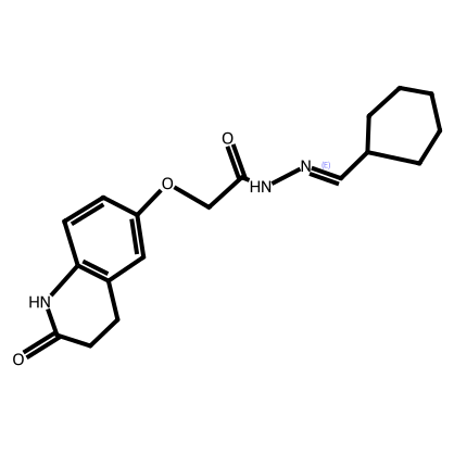 O=C(COc1ccc2c(c1)CCC(=O)N2)N/N=C/C1CCCCC1